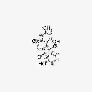 Cc1cc(O)c2c3c(oc(=O)c2c1)C(=O)c1c(O)cccc1C3=O